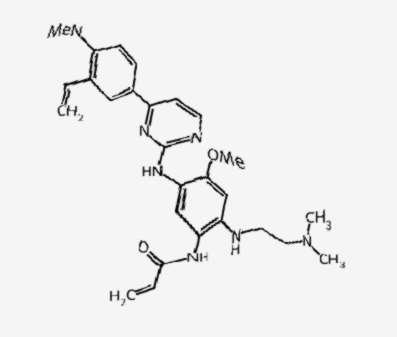 C=CC(=O)Nc1cc(Nc2nccc(-c3ccc(NC)c(C=C)c3)n2)c(OC)cc1NCCN(C)C